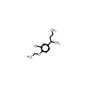 [CH2]C(CCC)c1ccc(OCC)c(Cl)c1